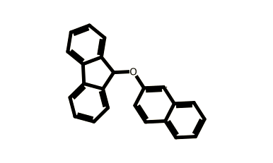 [c]1c(OC2c3ccccc3-c3ccccc32)ccc2ccccc12